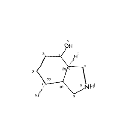 C[C@@H]1CCC(O)[C@H]2CNCC21